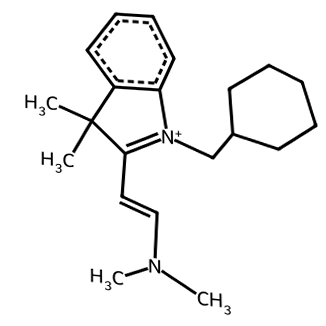 CN(C)/C=C/C1=[N+](CC2CCCCC2)c2ccccc2C1(C)C